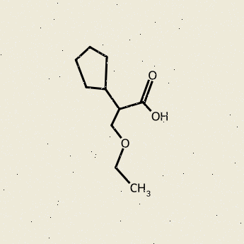 CCOCC(C(=O)O)C1CCCC1